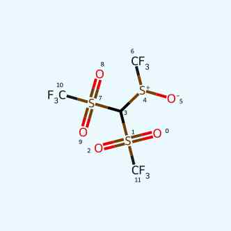 O=S(=O)(C([S+]([O-])C(F)(F)F)S(=O)(=O)C(F)(F)F)C(F)(F)F